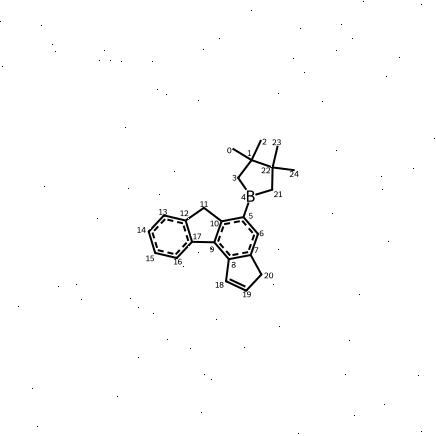 CC1(C)CB(c2cc3c(c4c2Cc2ccccc2-4)C=CC3)CC1(C)C